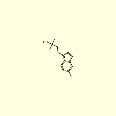 Cc1ccc2c(ccn2CCC(C)(C)O)c1